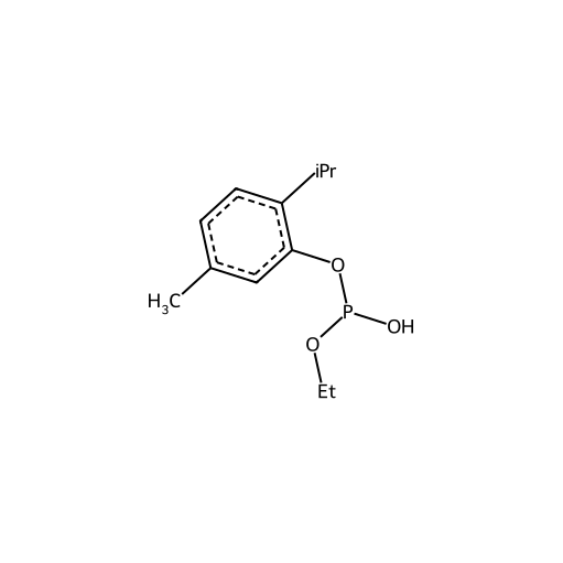 CCOP(O)Oc1cc(C)ccc1C(C)C